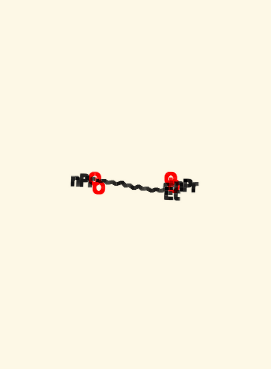 CCCOC(=O)CCCCCCCCCCCCCCC(CC)CC(=O)OCCC